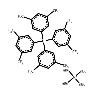 CCCC[N+](CCCC)(CCCC)CCCC.FC(F)(F)c1cc([B-](c2cc(C(F)(F)F)cc(C(F)(F)F)c2)(c2cc(C(F)(F)F)cc(C(F)(F)F)c2)c2cc(C(F)(F)F)cc(C(F)(F)F)c2)cc(C(F)(F)F)c1